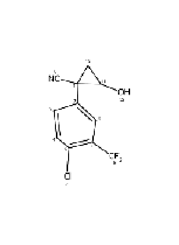 N#CC1(c2ccc(Cl)c(C(F)(F)F)c2)CC1O